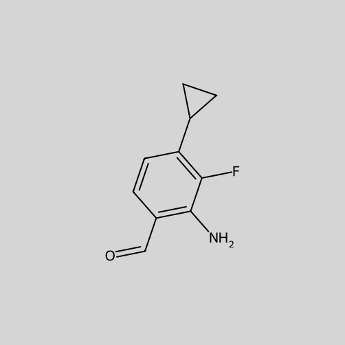 Nc1c(C=O)ccc(C2CC2)c1F